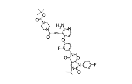 CC(C)n1cc(C(=O)Nc2ccc(Oc3ccnc(N)c3C#CC(=O)N3CCN(C(=O)OC(C)(C)C)CC3)c(F)c2)c(=O)n(-c2ccc(F)cc2)c1=O